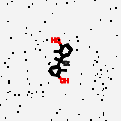 CCC(C)(c1cccc(O)c1C)c1cccc(O)c1C